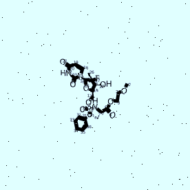 COCCOC(=O)[C@H](C)N[P@](=O)(OC[C@H]1O[C@@H](n2ccc(=O)[nH]c2=O)[C@](C)(F)[C@@H]1O)Oc1ccccc1